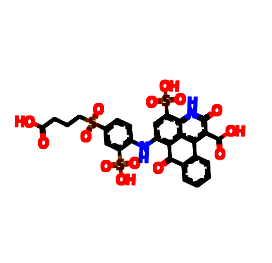 O=C(O)CCCS(=O)(=O)c1ccc(Nc2cc(S(=O)(=O)O)c3[nH]c(=O)c(C(=O)O)c4c3c2C(=O)c2ccccc2-4)c(S(=O)(=O)O)c1